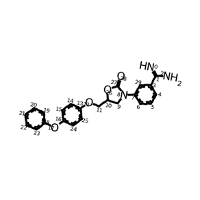 N=C(N)c1cccc(N2CC(COc3ccc(Oc4ccccc4)cc3)OC2=O)c1